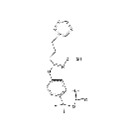 CC1(C)OC(=O)Nc2cc(OC(CCCc3ccccc3)=NOS)ccc21